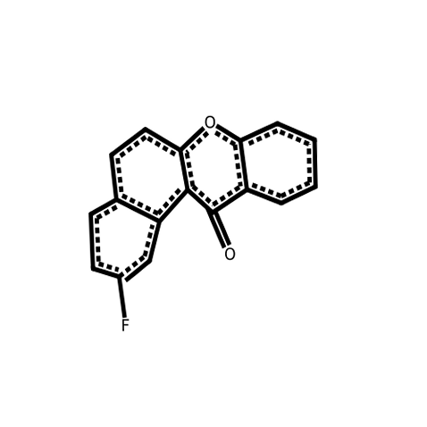 O=c1c2ccccc2oc2ccc3ccc(F)cc3c12